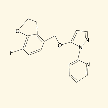 Fc1ccc(COc2ccnn2-c2ccccn2)c2c1OCC2